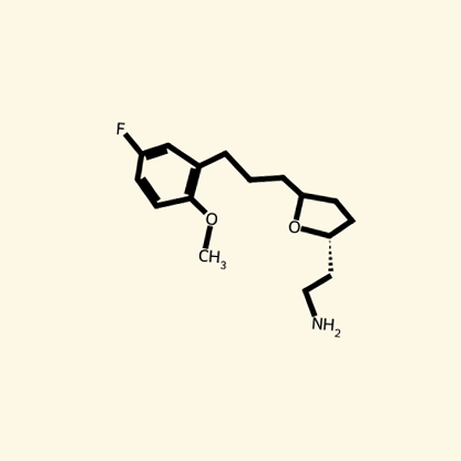 COc1ccc(F)cc1CCCC1CC[C@H](CCN)O1